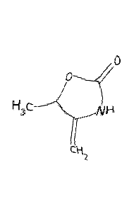 C=C1NC(=O)OC1C